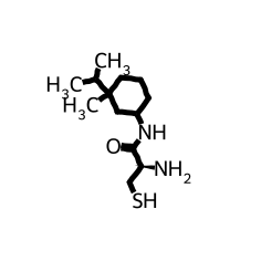 CC(C)C1(C)CCCC(NC(=O)[C@@H](N)CS)C1